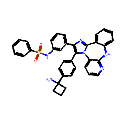 NC1(c2ccc(-c3c(-c4cccc(NS(=O)(=O)c5ccccc5)c4)nc4n3-c3cccnc3Nc3ccccc3-4)cc2)CCC1